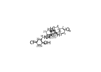 COc1ccc2c(c1)CC[C@@H]1[C@@H]2CC[C@]2(C)C(NCc3cc(Cl)ccc3O)CC[C@@H]12